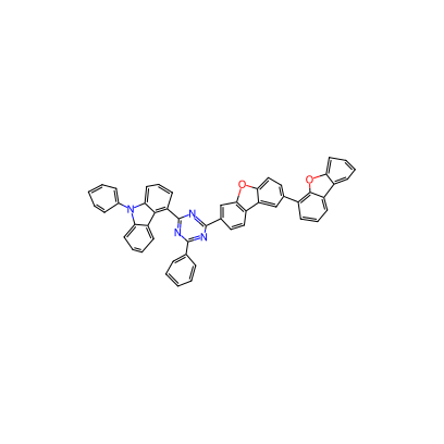 c1ccc(-c2nc(-c3ccc4c(c3)oc3ccc(-c5cccc6c5oc5ccccc56)cc34)nc(-c3cccc4c3c3ccccc3n4-c3ccccc3)n2)cc1